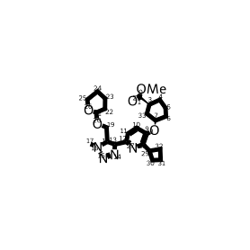 COC(=O)[C@H]1CCC[C@H](Oc2ccc(C3N=NN(C)C3COC3CCCCO3)nc2C2CCC2)C1